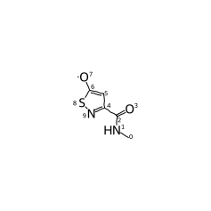 CNC(=O)c1cc([O])sn1